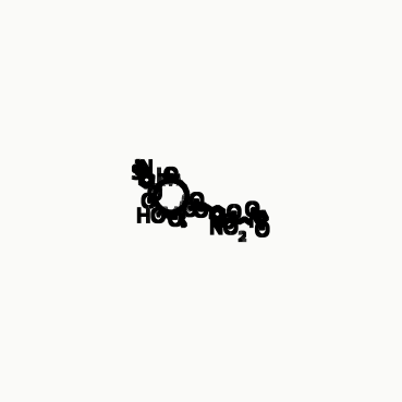 C=CC[C@H]1C(=O)C(C)(C)[C@@H](O)CC(=O)O[C@H](c2ccc3sc(C)nc3c2)C[C@@H]2O[C@]2(C)CCC[C@H](C)[C@@H]1OC(=O)OCc1ccc(OC(=O)CCCN2C(=O)C=CC2=O)c([N+](=O)[O-])c1